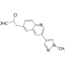 Cn1cc(-c2cnc3ccc(CC(Cl)C=O)cc3c2)cn1